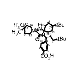 CC(C)(C)CC[C@H](c1ccc(C(=O)O)cc1)N1C(=O)C(N2CCC(C)(C)CC2)NC12CCC(C(C)(C)C)CC2